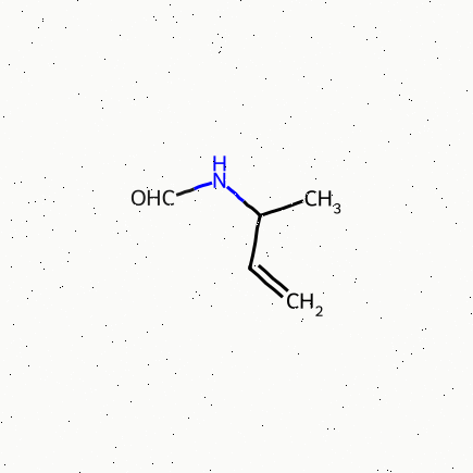 C=CC(C)NC=O